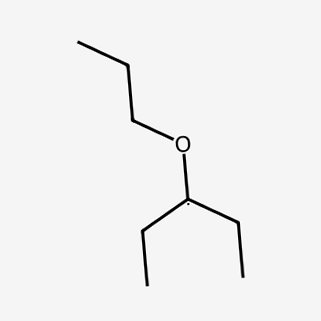 CCCO[C](CC)CC